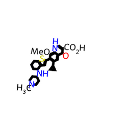 COc1c(-c2cc3c(s2)CCCC3NC2CCN(C)CC2)c(C2CC2)cc2c(=O)c(C(=O)O)c[nH]c12